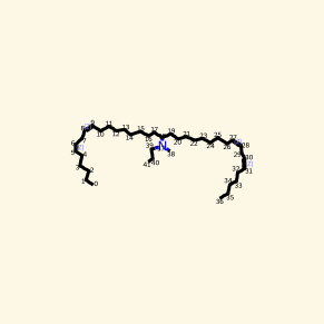 CCCCC/C=C\C/C=C\CCCCCCCCC(CCCCCCCC/C=C\C/C=C\CCCCC)N(C)CCC